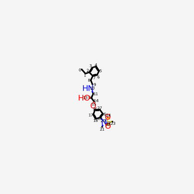 CCc1ccccc1CCNCC(O)COc1ccc(N(C)S(C)(=O)=O)cc1